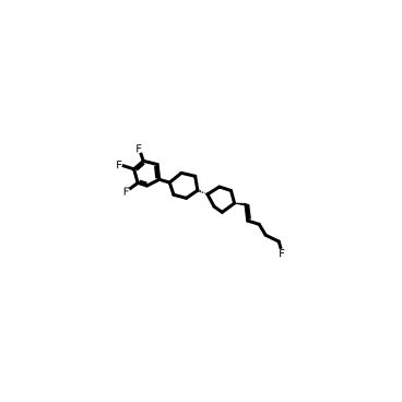 FCCC/C=C/[C@H]1CC[C@H](C2CCC(c3cc(F)c(F)c(F)c3)CC2)CC1